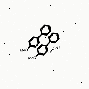 COc1ccc(-c2ccccc2)cc1.COc1ccc(-c2ccccc2)cc1.[SeH][SeH]